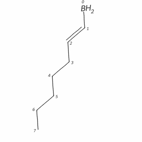 B/C=C/CCCCC